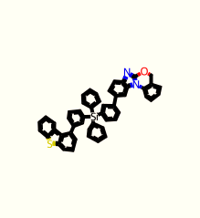 c1ccc([Si](c2ccccc2)(c2cccc(-c3ccc4nc5n(c4c3)-c3ccccc3CO5)c2)c2cccc(-c3cccc4sc5ccccc5c34)c2)cc1